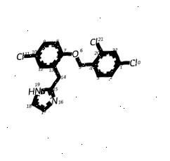 Clc1ccc(COc2ccc(Cl)cc2Cc2ncc[nH]2)c(Cl)c1